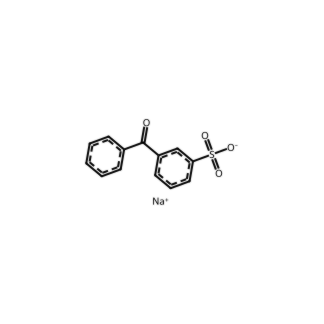 O=C(c1ccccc1)c1cccc(S(=O)(=O)[O-])c1.[Na+]